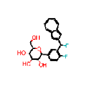 OC[C@H]1O[C@@H](c2ccc(F)c(C(F)c3cc4cccccc-4c3)c2)[C@H](O)[C@@H](O)[C@@H]1O